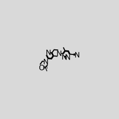 Cc1cc(C#N)nnc1N1CCc2ncc(N3CCO[C@H](C)C3)cc2C1